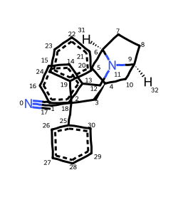 N#CC(C[C@H]1C[C@H]2CC[C@@H](C1)N2Cc1ccccc1)(c1ccccc1)c1ccccc1